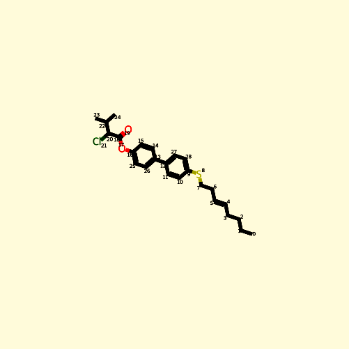 CCCCC=CCCSc1ccc(-c2ccc(OC(=O)C(Cl)C(C)C)cc2)cc1